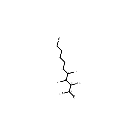 FCCCCCC(F)C(F)C(F)C(F)F